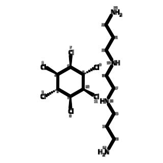 Cl[C@H]1[C@H](Cl)[C@@H](Cl)[C@@H](Cl)[C@H](Cl)[C@H]1Cl.NCCCNCCNCCCN